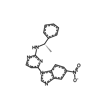 C[C@H](Nc1nccc(-n2cnc3cc([N+](=O)[O-])ccc32)n1)c1ccccc1